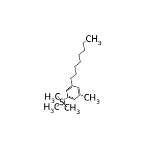 CCCCCCCCc1cc(C)cc([Si](C)(C)C)c1